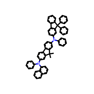 CC1(C)c2cc(N(c3ccccc3)c3ccc4c(c3)C(c3ccccc3)(c3ccccc3)c3ccccc3-4)ccc2-c2ccc(N(c3ccccc3)c3cccc4ccccc34)cc21